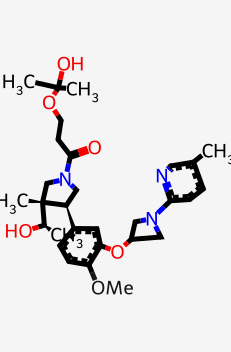 COc1ccc([C@@H]2CN(C(=O)CCOC(C)(C)O)C[C@@]2(C)[C@@H](C)O)cc1OC1CN(c2ccc(C)cn2)C1